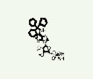 COC1[C@@H](COP(=O)(O)S)O[C@@H](n2cnc3c(NC(c4ccccc4)(c4ccccc4)c4ccccc4)ncnc32)[C@H]1OC